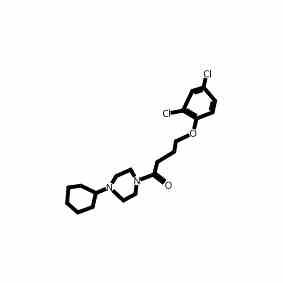 O=C(CCCOc1ccc(Cl)cc1Cl)N1CCN(C2CCCCC2)CC1